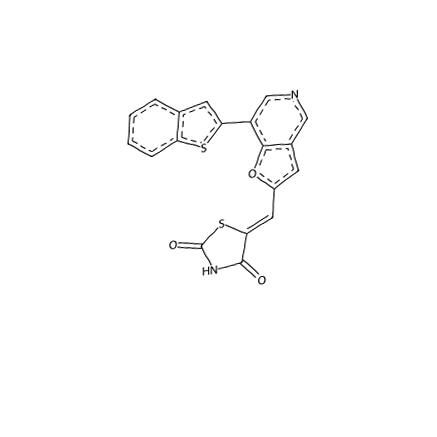 O=C1NC(=O)C(=Cc2cc3cncc(-c4cc5ccccc5s4)c3o2)S1